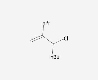 C=C(CCC)C(Cl)CCCC